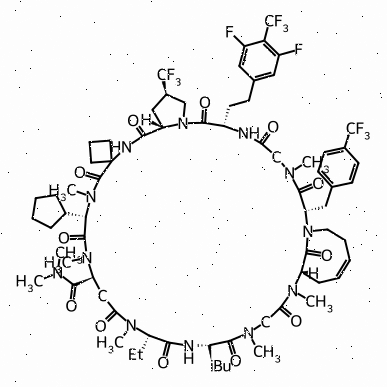 CC[C@H](C)[C@@H]1NC(=O)[C@H](CC)N(C)C(=O)C[C@@H](C(=O)N(C)C)N(C)C(=O)[C@H](C2CCCC2)N(C)C(=O)C2(CCC2)NC(=O)[C@@H]2C[C@@H](C(F)(F)F)CN2C(=O)[C@H](CCc2cc(F)c(C(F)(F)F)c(F)c2)NC(=O)CN(C)C(=O)[C@H](Cc2ccc(C(F)(F)F)cc2)N2CC/C=C\C[C@@H](C2=O)N(C)C(=O)CN(C)C1=O